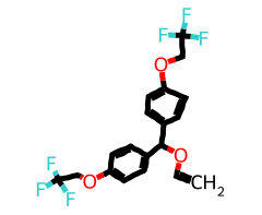 C=COC(c1ccc(OCC(F)(F)F)cc1)c1ccc(OCC(F)(F)F)cc1